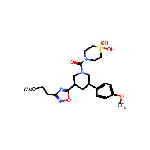 COCCc1noc(C2CC(c3ccc(OC(F)(F)F)cc3)CN(C(=O)N3CCS(O)(O)CC3)C2)n1